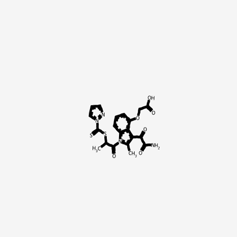 Cc1c(C(=O)C(N)=O)c2c(OCC(=O)O)cccc2n1C(=O)C(C)SC(=S)n1cccn1